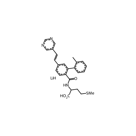 CSCCC(NC(=O)c1ccc(/C=C/c2cncnc2)cc1-c1ccccc1C)C(=O)O.[LiH]